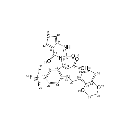 O=C(O)c1c(-n2c(=O)[nH]c3cscc3c2=O)c2cc(C(F)(F)F)ccc2n1Cc1cccc2c1OCCO2